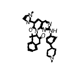 CN1CCC(c2ccc(Nc3ncc4cc(-c5nccn5C)c(=O)n(C5C(=O)Cc6ccccc6C5(C)C)c4n3)cc2)CC1